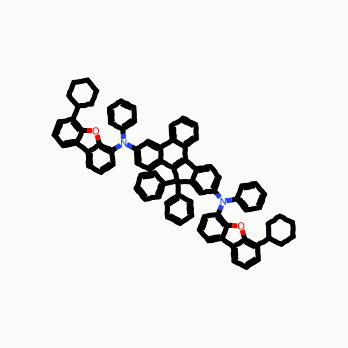 c1ccc(N(c2ccc3c(c2)C(c2ccccc2)(c2ccccc2)c2c-3c3ccccc3c3cc(N(c4ccccc4)c4cccc5c4oc4c(C6CCCCC6)cccc45)ccc23)c2cccc3c2oc2c(C4CCCCC4)cccc23)cc1